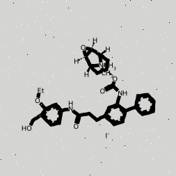 CCOc1cc(NC(=O)CCc2ccc(-c3ccccc3)c(NC(=O)O[C@@H]3C[C@@H]4[C@H]5O[C@H]5[C@H](C3)[N+]4(C)C)c2)ccc1CO.[I-]